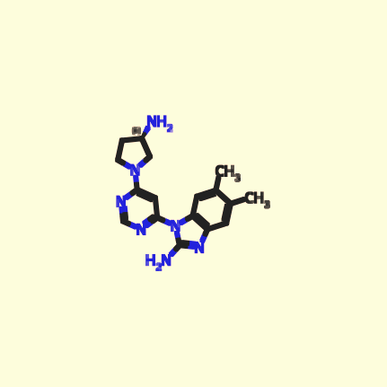 Cc1cc2nc(N)n(-c3cc(N4CC[C@@H](N)C4)ncn3)c2cc1C